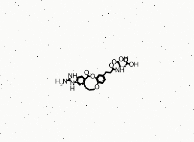 N=C(N)Nc1ccc2c(c1)CCCOc1ccc(CCC(=O)N[C@@H](CC(=O)O)C(=O)O)cc1OC2=O